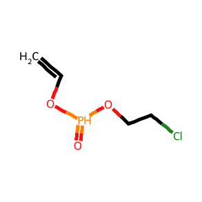 C=CO[PH](=O)OCCCl